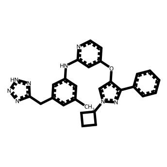 Cc1cc(Cc2nn[nH]n2)cc(Nc2cc(Oc3cn(C4CCC4)nc3-c3ccccc3)ccn2)c1